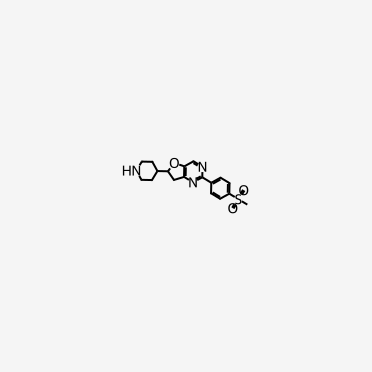 CS(=O)(=O)c1ccc(-c2ncc3c(n2)CC(C2CCNCC2)O3)cc1